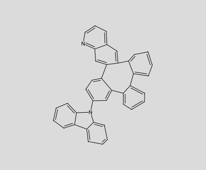 c1ccc2c(c1)-c1ccccc1-c1cc3cccnc3cc1-c1ccc(-n3c4ccccc4c4ccccc43)cc1-2